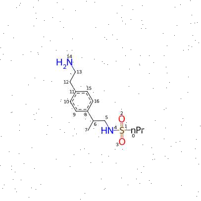 CCCS(=O)(=O)NCC(C)c1ccc(CCN)cc1